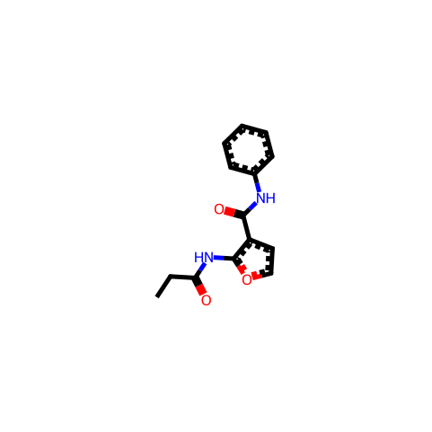 CCC(=O)Nc1occc1C(=O)Nc1ccccc1